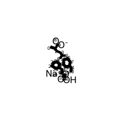 C=C(CCC(C)C)C(=O)[O-].C=Cc1ccccc1.O=S(=O)(O)C=Cc1ccccc1.[Na+]